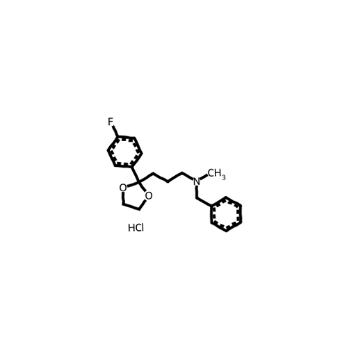 CN(CCCC1(c2ccc(F)cc2)OCCO1)Cc1ccccc1.Cl